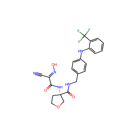 N#CC(=NO)C(=O)N[C@@]1(C(=O)NCc2ccc(Nc3ccccc3C(F)(F)F)cc2)CCOC1